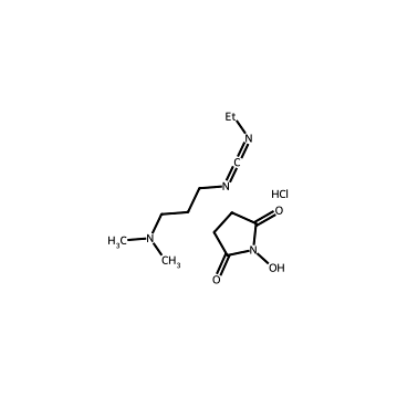 CCN=C=NCCCN(C)C.Cl.O=C1CCC(=O)N1O